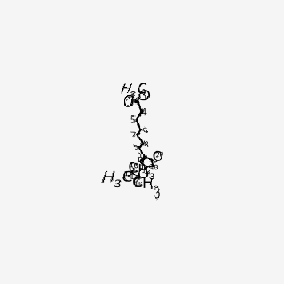 COC(=O)CCCCCCC1=CC(O[Si](C)(C)C)CC1=O